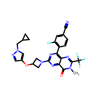 Cn1c(C(F)(F)F)nc2c(-c3ccc(C#N)cc3F)nc(N3CC(Oc4cnn(CC5CC5)c4)C3)nc2c1=O